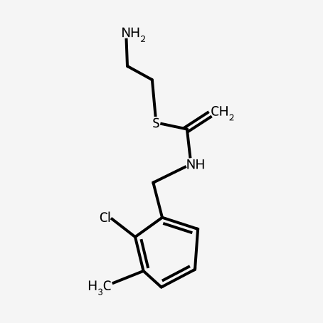 C=C(NCc1cccc(C)c1Cl)SCCN